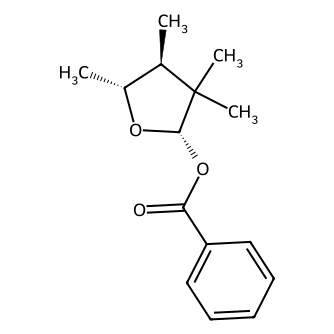 C[C@@H]1[C@@H](C)O[C@@H](OC(=O)c2ccccc2)C1(C)C